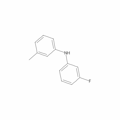 Cc1cccc(Nc2cccc(F)c2)c1